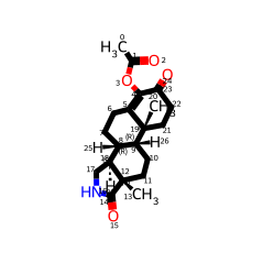 CC(=O)OC1=C2CC[C@@H]3[C@@H](CC[C@]4(C)C(=O)NC[C@@H]34)[C@@]2(C)CCC1=O